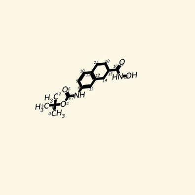 CC(C)(C)OC(=O)Nc1ccc2c(c1)CC(C(=O)NO)CC2